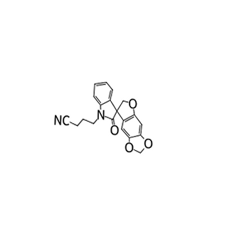 N#CCCCN1C(=O)C2(COc3cc4c(cc32)OCO4)c2ccccc21